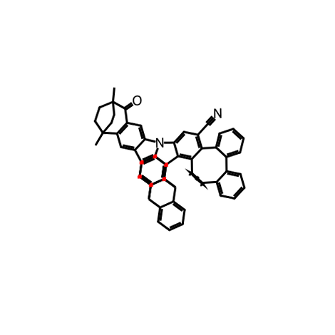 CC12CCC(C)(CC1)c1cc3c4cc5c(c6c7c8c(c(C#N)cc7n(c3cc1C2=O)c46)-c1ccccc1-c1ccccc1-c1ccccc1-8)C1c2ccccc2C5c2ccccc21